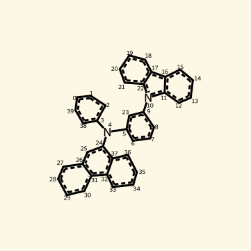 c1ccc(N(c2cccc(-n3c4ccccc4c4ccccc43)c2)c2cc3ccccc3c3ccccc23)cc1